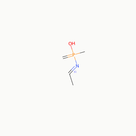 C=P(C)(O)/N=C/C